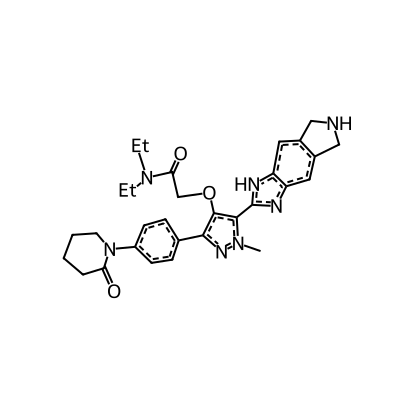 CCN(CC)C(=O)COc1c(-c2ccc(N3CCCCC3=O)cc2)nn(C)c1-c1nc2cc3c(cc2[nH]1)CNC3